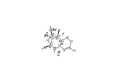 CC(=O)O[C@@H]1C[C@H]2O[C@@H]3C=C(C)CC[C@]3(C)[C@]1(C)C2C(C)C